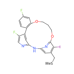 CSCc1cc2nc(c1I)OCCCOc1cc(F)ccc1-c1cc(ncc1F)N2